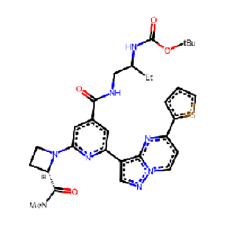 CCC(CNC(=O)c1cc(-c2cnn3ccc(-c4cccs4)nc23)nc(N2CC[C@H]2C(=O)NC)c1)NC(=O)OC(C)(C)C